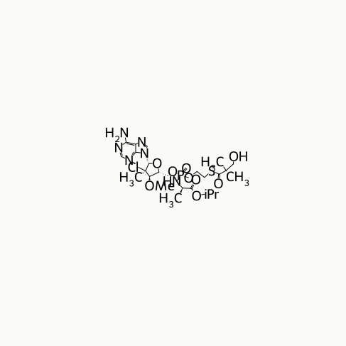 CO[C@@H]1[C@@H](COP(=O)(N[C@H](C)C(=O)OC(C)C)OCCSC(=O)C(C)(C)CO)O[C@@H](n2cnc3c(N)ncnc32)[C@]1(C)Cl